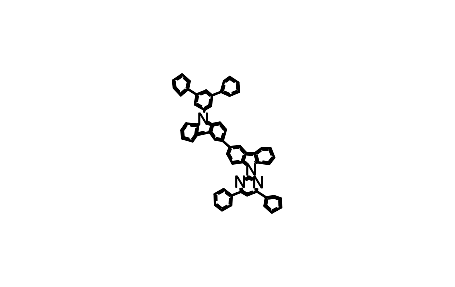 c1ccc(-c2cc(-c3ccccc3)cc(-n3c4ccccc4c4cc(-c5ccc6c(c5)c5ccccc5n6-c5nc(-c6ccccc6)cc(-c6ccccc6)n5)ccc43)c2)cc1